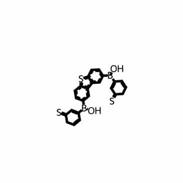 OB(C1=CC(=S)CC=C1)c1ccc2sc3ccc(B(O)C4=CC(=S)CC=C4)cc3c2c1